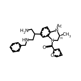 CC(=O)N1c2ccc(C(CN)CNCc3ccccc3)cc2N(C(=O)c2ccco2)C[C@@H]1C